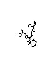 C=CC(=O)OCCC(OCC(C)O)[Si]1(C)CCCCO1